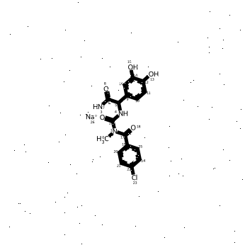 CN(C(=O)NC(C([NH-])=O)c1ccc(O)c(O)c1)C(=O)c1ccc(Cl)cc1.[Na+]